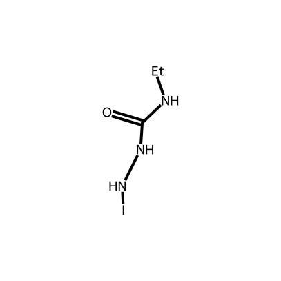 CCNC(=O)NNI